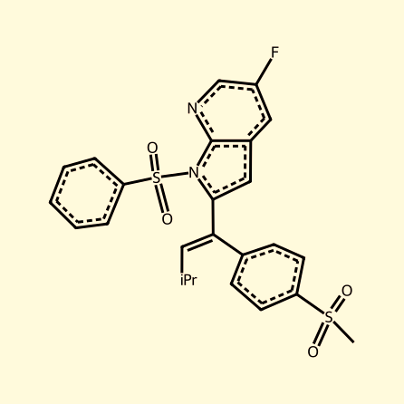 CC(C)C=C(c1ccc(S(C)(=O)=O)cc1)c1cc2cc(F)cnc2n1S(=O)(=O)c1ccccc1